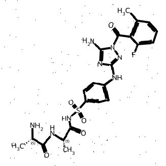 Cc1cccc(F)c1C(=O)n1nc(Nc2ccc(S(=O)(=O)NC(=O)[C@H](C)NC(=O)[C@H](C)N)cc2)nc1N